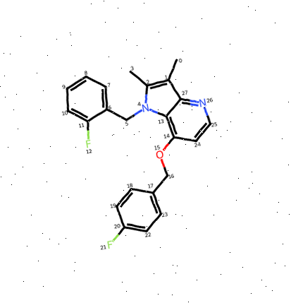 Cc1c(C)n(Cc2ccccc2F)c2c(OCc3ccc(F)cc3)ccnc12